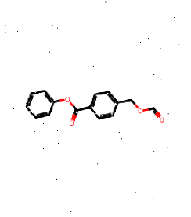 O=COCc1ccc(C(=O)Oc2ccccc2)cc1